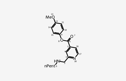 CCCCCNCc1cc(C(=O)Oc2ccc(OC)cc2)ccn1